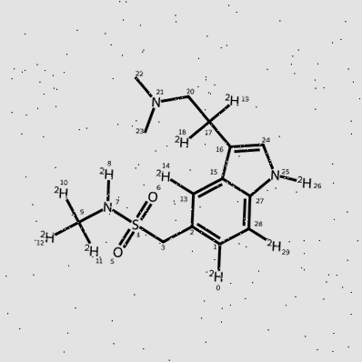 [2H]c1c(CS(=O)(=O)N([2H])C([2H])([2H])[2H])c([2H])c2c(C([2H])([2H])CN(C)C)cn([2H])c2c1[2H]